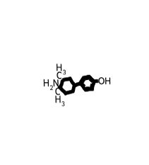 CC1CC(c2ccc(O)cc2)CCC1(C)N